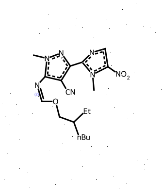 CCCCC(CC)CO/C=N\c1c(C#N)c(-c2ncc([N+](=O)[O-])n2C)nn1C